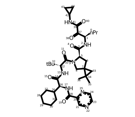 CCC[C@@H](NC(=O)[C@H]1CC2(CN1C(=O)[C@H](NC(=O)[C@@H](NC(=O)c1cnccn1)C1CCCCC1)C(C)(C)C)CC2(C)C)C(=O)C(=O)NC1CC1